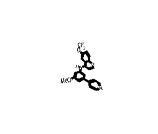 COc1cc(Nc2ccnc3ccc(OC(F)(F)F)cc23)cc(-c2ccncc2)c1